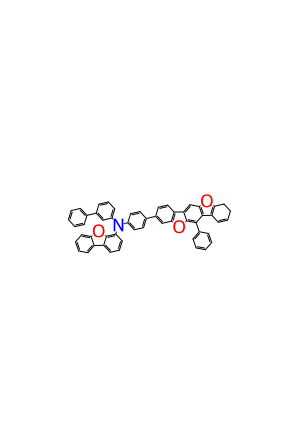 C1=Cc2c(oc3cc4c(oc5cc(-c6ccc(N(c7cccc(-c8ccccc8)c7)c7cccc8c7oc7ccccc78)cc6)ccc54)c(-c4ccccc4)c23)CC1